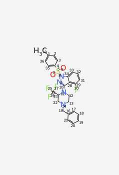 Cc1ccc(S(=O)(=O)n2nc(N3CCN(Cc4ccccc4)CC3C(F)(F)F)c3c(F)cccc32)cc1